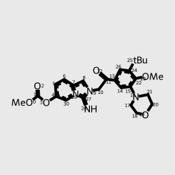 COC(=O)Oc1ccc2cn(CC(=O)c3cc(N4CCOCC4)c(OC)c(C(C)(C)C)c3)c(=N)n2c1